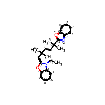 CCN1C(=CC(C)(C)C=CC(C)(C)c2nc3ccccc3o2)Oc2ccccc21